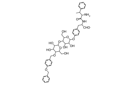 CC(c1ccccc1)C(N)C(=O)NC([C]=O)Cc1ccc(OC2OC(CO)C(OC3OC(CO)C(OCc4ccc(OCc5ccccc5)cc4)C(O)C3O)C(O)C2O)cc1